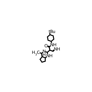 CC1NC(C(C=N)C(=O)NC2CCC(C(C)(C)C)CC2)NC2CCCC12